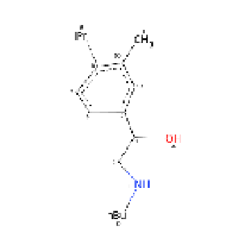 CCCCNCC(O)c1ccc(C(C)C)c(C)c1